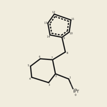 CC(C)CC1CCCCC1Cc1ccccc1